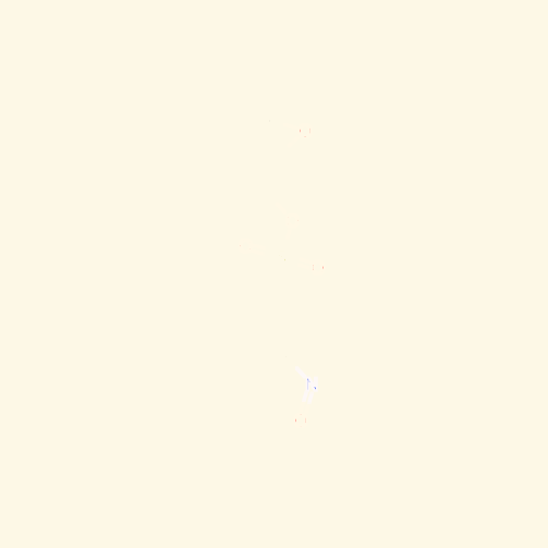 O=Nc1cccc(S(=O)(=O)OCC2CO2)c1